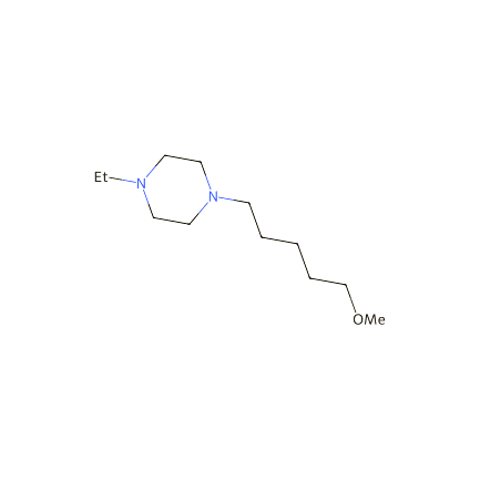 CCN1CCN(CCCCCOC)CC1